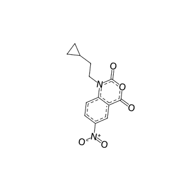 O=c1oc(=O)n(CCC2CC2)c2ccc([N+](=O)[O-])cc12